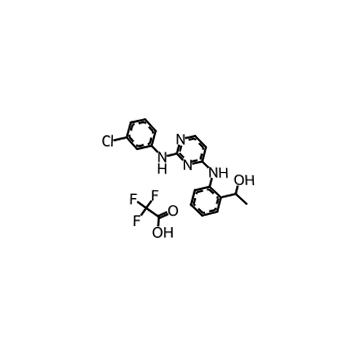 CC(O)c1ccccc1Nc1ccnc(Nc2cccc(Cl)c2)n1.O=C(O)C(F)(F)F